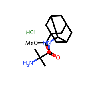 COC(=O)C12CC3CC(C1)C(NC(=O)C(C)(C)N)C(C3)C2.Cl